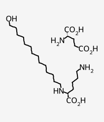 NCCCC[C@H](NCCCCCCCCCCCCCCO)C(=O)O.N[C@@H](CCC(=O)O)C(=O)O